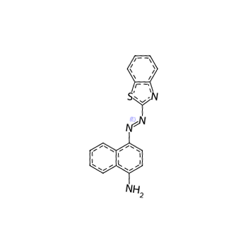 Nc1ccc(/N=N/c2nc3ccccc3s2)c2ccccc12